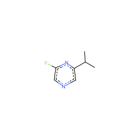 CC(C)c1cncc(F)n1